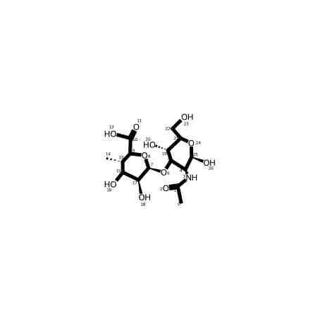 CC(=O)N[C@H]1C(O[C@@H]2OC(C(=O)O)[C@@H](C)C(O)[C@@H]2O)[C@H](O)C(CO)O[C@H]1O